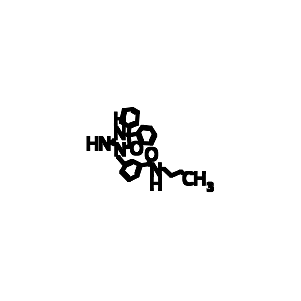 CCCCNC(=O)c1cccc(CN2C(=N)NC(c3ccccc3)(c3ccccc3)C2=O)c1